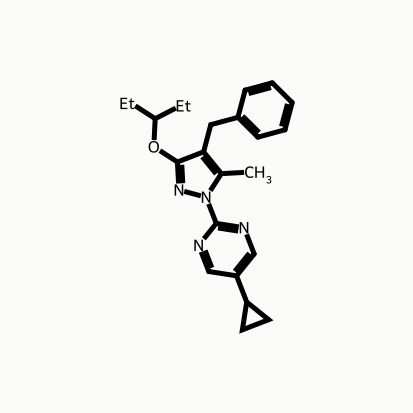 CCC(CC)Oc1nn(-c2ncc(C3CC3)cn2)c(C)c1Cc1ccccc1